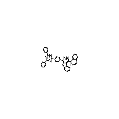 c1ccc(-c2nc(-c3ccccc3)nc(-c3ccc(-c4nnc(-c5nccc6ccccc56)c5c4sc4ccccc45)cc3)n2)cc1